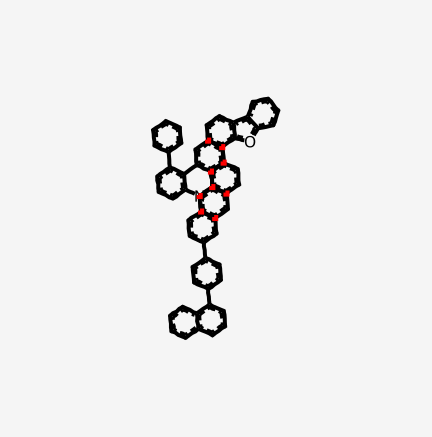 c1ccc(-c2ccccc2-c2c(-c3ccccc3)cccc2N(c2ccc(-c3ccc(-c4cccc5ccccc45)cc3)cc2)c2cccc(-c3cccc4c3oc3ccccc34)c2)cc1